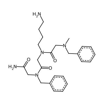 CN(CC(=O)N(CCCCN)CC(=O)N(CC(N)=O)Cc1ccccc1)Cc1ccccc1